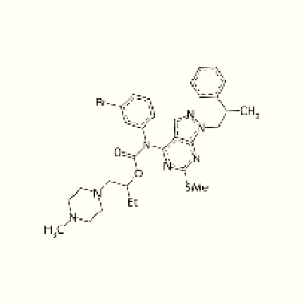 CCC(CN1CCN(C)CC1)OC(=O)N(c1cccc(Br)c1)c1nc(SC)nc2c1cnn2CC(C)c1ccccc1